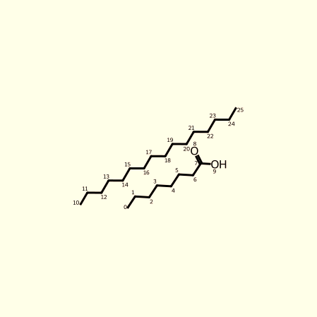 CCCCCCCC(=O)O.CCCCCCCCCCCCCCCC